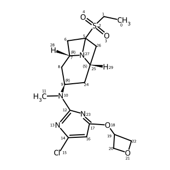 CCS(=O)(=O)C12C[C@H]3C[C@H](N(C)c4nc(Cl)cc(OC5COC5)n4)C[C@@H](C1)N32